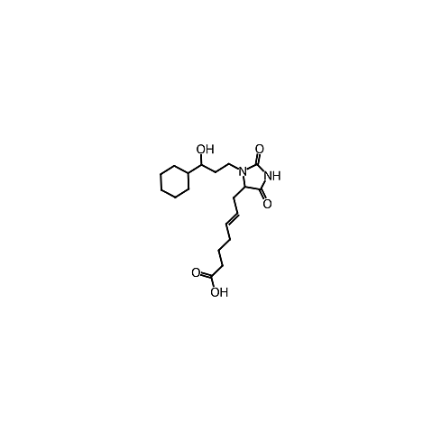 O=C(O)CCC/C=C/CC1C(=O)NC(=O)N1CCC(O)C1CCCCC1